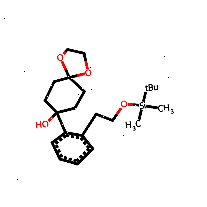 CC(C)(C)[Si](C)(C)OCCc1ccccc1C1(O)CCC2(CC1)OCCO2